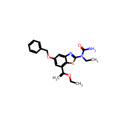 C=C(OCC)c1cc(OCc2ccccc2)cc2nc(N(CC)C(N)=O)sc12